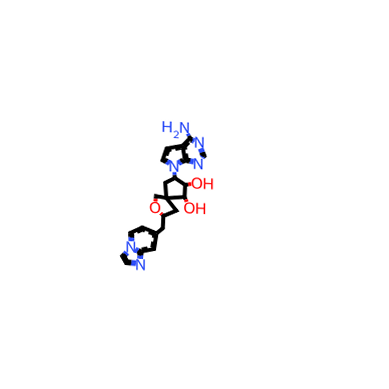 Nc1ncnc2c1ccn2C1CC2(COC(Cc3ccn4ccnc4c3)C2)C(O)C1O